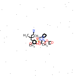 CCC(CC)(CCC#N)Cc1cc(S(=O)(=O)N(Cc2ccccc2)[C@H](NC(=O)O[C@H]2CCOC2)[C@@H](C)O)ccc1OC